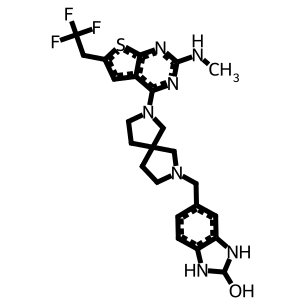 CNc1nc(N2CCC3(CCN(Cc4ccc5c(c4)NC(O)N5)C3)C2)c2cc(CC(F)(F)F)sc2n1